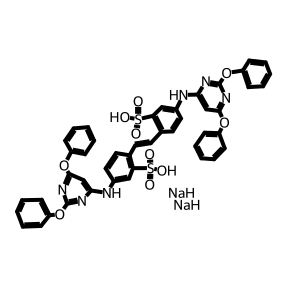 O=S(=O)(O)c1cc(Nc2cc(Oc3ccccc3)nc(Oc3ccccc3)n2)ccc1/C=C/c1ccc(Nc2cc(Oc3ccccc3)nc(Oc3ccccc3)n2)cc1S(=O)(=O)O.[NaH].[NaH]